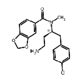 CN(C(=O)c1ccc2c(c1)OCO2)[C@H](CCN)Cc1ccc(Cl)cc1